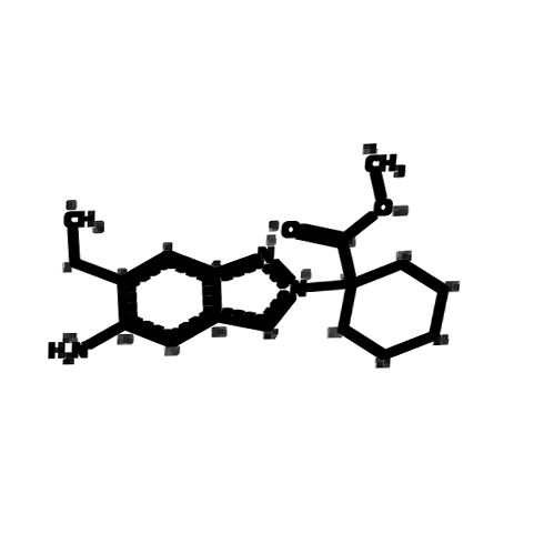 CCc1cc2nn(C3(C(=O)OC)CCCCC3)cc2cc1N